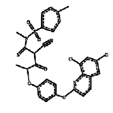 Cc1ccc(S(=O)(=O)N(C)C(=S)C(C#N)C(=O)C(C)Oc2ccc(Oc3ccc4cc(Cl)cc(Cl)c4n3)cc2)cc1